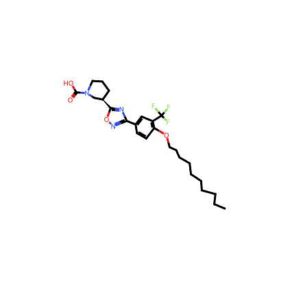 CCCCCCCCCCOc1ccc(-c2noc([C@@H]3CCCN(C(=O)O)C3)n2)cc1C(F)(F)F